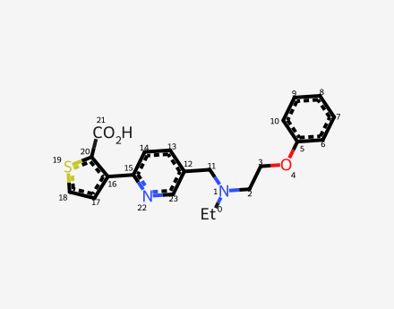 CCN(CCOc1ccccc1)Cc1ccc(-c2ccsc2C(=O)O)nc1